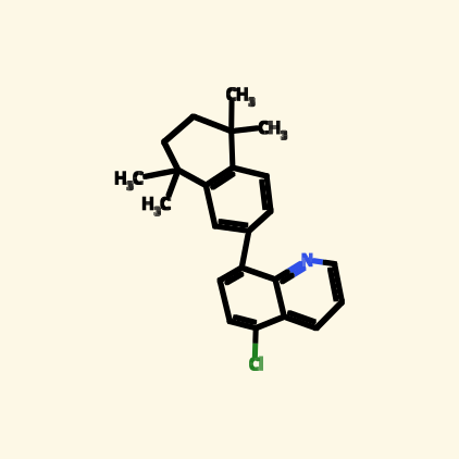 CC1(C)CCC(C)(C)c2cc(-c3ccc(Cl)c4cccnc34)ccc21